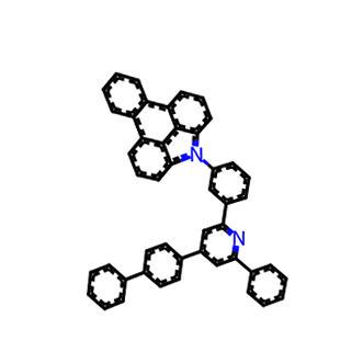 c1ccc(-c2ccc(-c3cc(-c4ccccc4)nc(-c4cccc(-n5c6cccc7c8ccccc8c8cccc5c8c76)c4)c3)cc2)cc1